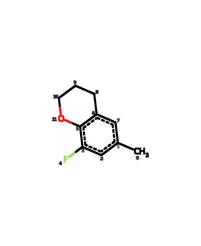 Cc1cc(F)c2c(c1)CCCO2